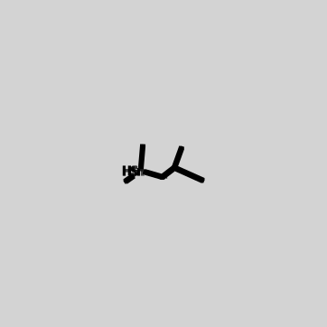 CC(C)[CH][SnH]([CH3])[CH3]